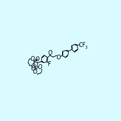 O=C(CCOc1ccc(-c2ccc(C(F)(F)F)cc2)cc1)c1ccc(C(P2(=O)OCCCO2)P2(=O)OCCCO2)cc1F